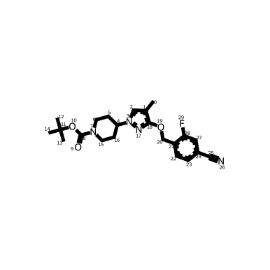 Cc1cn(C2CCN(C(=O)OC(C)(C)C)CC2)nc1OCc1ccc(C#N)cc1F